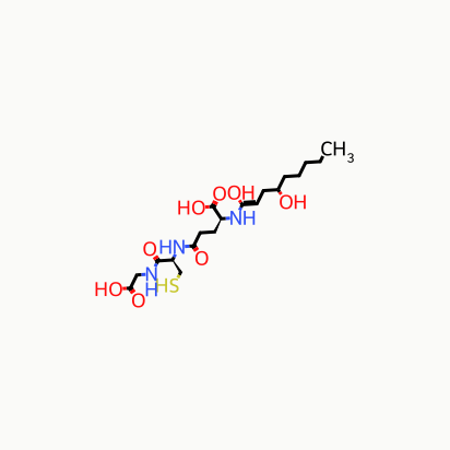 CCCCCC(O)CC=C(O)N[C@@H](CCC(=O)N[C@@H](CS)C(=O)NCC(=O)O)C(=O)O